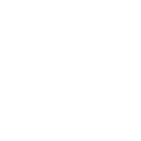 CCCC1COC(C(=O)OCC)CC1O